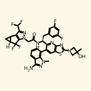 Cn1nc(N)c2cccc(-c3cc4sc(N5CC(C)(O)C5)nc4nc3[C@H](Cc3cc(F)cc(F)c3)NC(=O)Cn3nc(C(F)F)c4c3C(F)(F)[C@@H]3CC43)c21